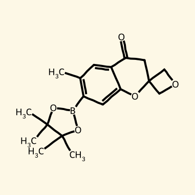 Cc1cc2c(cc1B1OC(C)(C)C(C)(C)O1)OC1(COC1)CC2=O